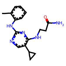 Cc1ccccc1Nc1ncc(C2CC2)c(NCCC(N)=O)n1